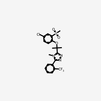 Cn1c(-c2ccccc2C(F)(F)F)nnc1C(C)(C)Oc1ccc(Cl)cc1S(C)(=O)=O